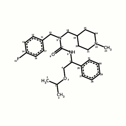 CC(C)OCC(NC(=O)N(Cc1ccc(F)cc1)CC1CCN(C)CC1)c1ccccc1